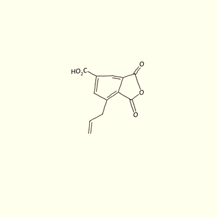 C=CCc1cc(C(=O)O)cc2c1C(=O)OC2=O